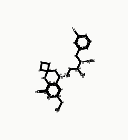 CC(=O)N[C@@H](Cc1cccc(F)c1)[C@@H](O)CN[C@H]1CC2(CCC2)Oc2c1cc(CC(C)(C)C)[nH]c2=O